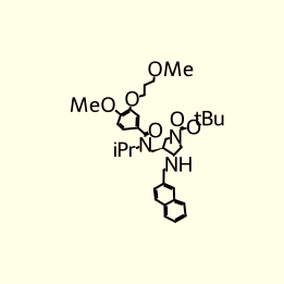 COCCCOc1cc(C(=O)N(C[C@H]2CN(C(=O)OC(C)(C)C)C[C@@H]2NCc2ccc3ccccc3c2)C(C)C)ccc1OC